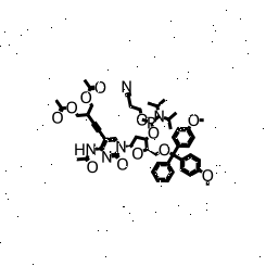 COc1ccc(C(OC[C@H]2O[C@@H](n3cc(C#CC(COC(C)=O)COC(C)=O)c(NC(C)=O)nc3=O)CC2OP(OCCC#N)N(C(C)C)C(C)C)(c2ccccc2)c2ccc(OC)cc2)cc1